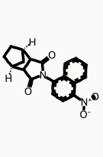 O=C1C2C(C(=O)N1c1ccc([N+](=O)[O-])c3ccccc13)[C@H]1CC[C@@H]2C1